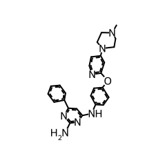 CN1CCN(c2ccnc(Oc3ccc(Nc4cc(-c5ccccc5)nc(N)n4)cc3)c2)CC1